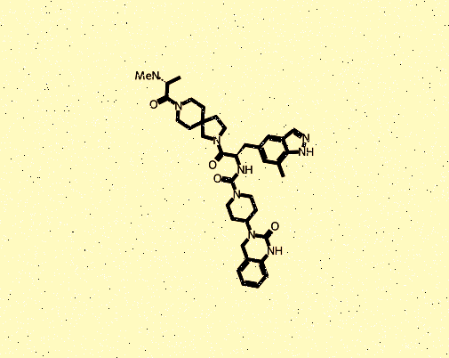 CN[C@H](C)C(=O)N1CCC2(CC1)CCN(C(=O)[C@@H](Cc1cc(C)c3[nH]ncc3c1)NC(=O)N1CCC(N3Cc4ccccc4NC3=O)CC1)C2